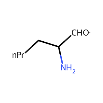 CCCCC(N)[C]=O